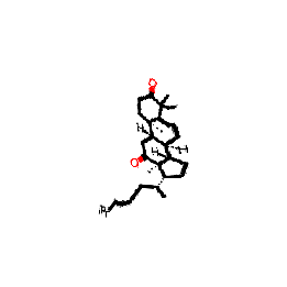 CC(C)CCCC(C)[C@H]1CC[C@H]2[C@@H]3CC=C4C(C)(C)C(=O)CC[C@]4(C)[C@H]3CC(=O)[C@]12C